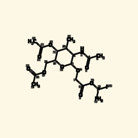 CC(=O)NC1C(OCC(=O)OP(F)P)OC(COC(C)=O)C(OC(C)=O)C1C